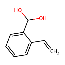 C=Cc1ccccc1C(O)O